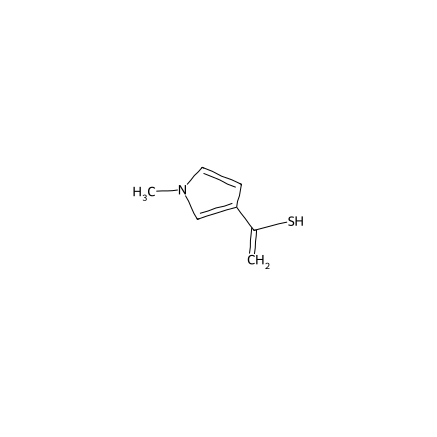 C=C(S)c1ccn(C)c1